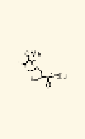 COC(=O)C(C)CC1CCN(C(=O)OC(C)(C)C)CC1